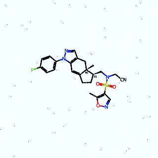 Cc1oncc1S(=O)(=O)N(CC#N)C[C@H]1CCC2=Cc3c(cnn3-c3ccc(F)cc3)C[C@@]21C